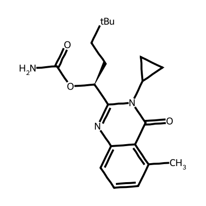 Cc1cccc2nc([C@H](CCC(C)(C)C)OC(N)=O)n(C3CC3)c(=O)c12